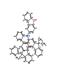 CC1(C)c2ccccc2-c2ccc(N(c3ccc4oc5ccccc5c4c3)c3ccccc3-c3ccc4c(c3)C(C)(c3ccccc3)c3ccccc3-4)cc21